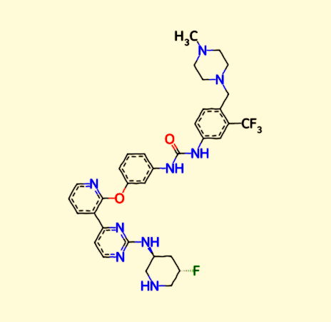 CN1CCN(Cc2ccc(NC(=O)Nc3cccc(Oc4ncccc4-c4ccnc(N[C@@H]5CNC[C@@H](F)C5)n4)c3)cc2C(F)(F)F)CC1